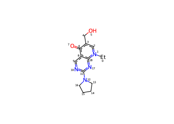 CCn1cc(CO)c(=O)c2cnc(N3CCCC3)nc21